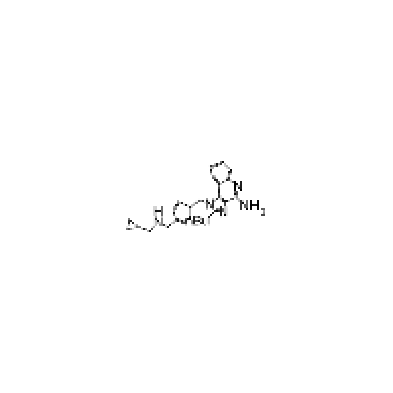 CCCCc1nc2c(N)nc3ccccc3c2n1Cc1ccc(CNCC2CC2)cc1